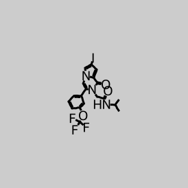 CC(C)NC(=O)Cn1c(-c2cccc(OC(F)(F)F)c2)cn2cc(I)cc2c1=O